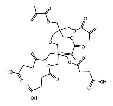 C=C(C)C(=O)OCC(COCC(COC(=O)CCC(=O)O)(COC(=O)CCC(=O)O)COC(=O)CCC(=O)O)(COC(=O)C(=C)C)COC(=O)C(=C)C